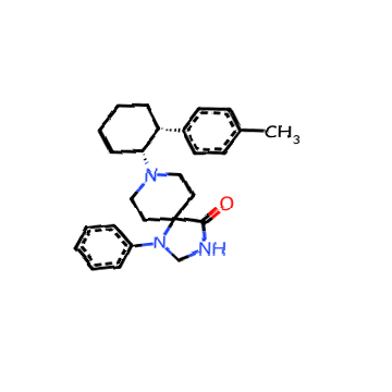 Cc1ccc([C@H]2CCCC[C@H]2N2CCC3(CC2)C(=O)NCN3c2ccccc2)cc1